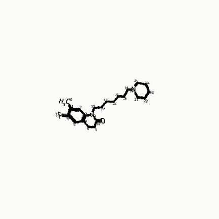 Cc1cc2c(cc1F)CCC(=O)N2CCCCCCCN1CCCCC1